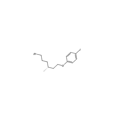 CC(C)CCC[C@@H](C)CCOc1ccc(I)cc1